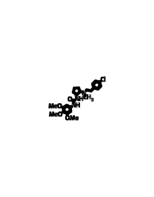 COc1cc(NC(=O)N[C@@H]2CCC[C@H]2N(C)CCc2ccc(Cl)cc2)cc(OC)c1OC